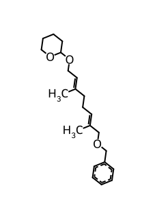 C/C(=C\COC1CCCCO1)CC/C=C(\C)COCc1ccccc1